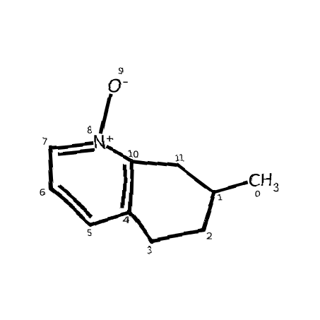 CC1CCc2ccc[n+]([O-])c2C1